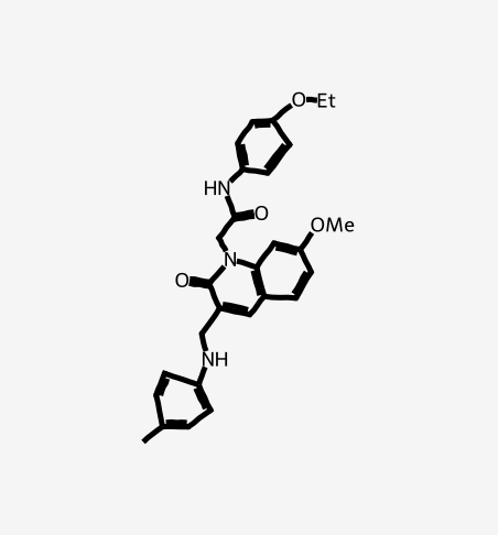 CCOc1ccc(NC(=O)Cn2c(=O)c(CNc3ccc(C)cc3)cc3ccc(OC)cc32)cc1